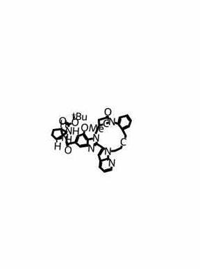 COc1cc(C(=O)N2C[C@H]3CC[C@@H]2[C@@H]3NC(=O)OC(C)(C)C)cc2nc3n(c12)CC1CC(=O)N(C1)c1ccccc1CCCCn1c-3cc2cccnc21